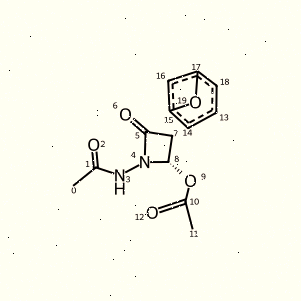 CC(=O)NN1C(=O)C[C@@H]1OC(C)=O.c1cc2cc(c1)O2